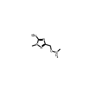 Cn1nc(CO[SiH](C)C)nc1C(C)(C)C